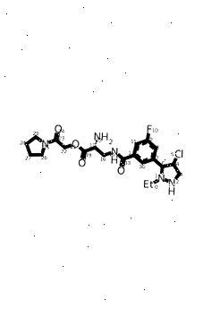 CCN1NCC(Cl)C1c1cc(F)cc(C(=O)NC[C@@H](N)C(=O)OCC(=O)N2CCCC2)c1